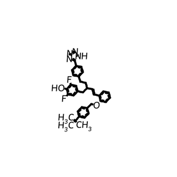 CC(C)(C)c1ccc(COc2ccccc2/C=C/C(CCc2ccc(-c3nnn[nH]3)cc2)Cc2cc(F)c(O)c(F)c2)cc1